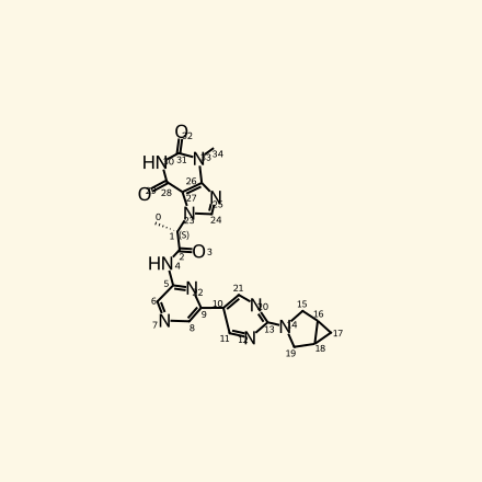 C[C@@H](C(=O)Nc1cncc(-c2cnc(N3CC4CC4C3)nc2)n1)n1cnc2c1c(=O)[nH]c(=O)n2C